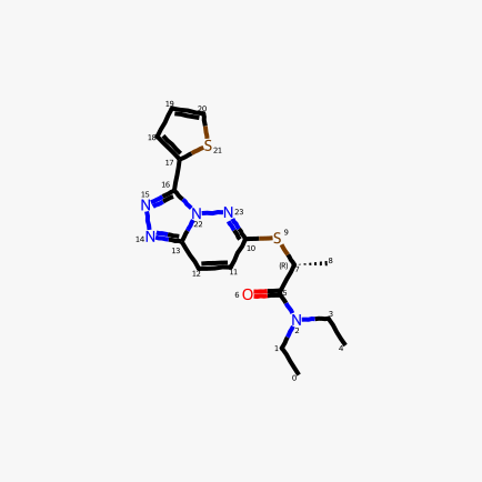 CCN(CC)C(=O)[C@@H](C)Sc1ccc2nnc(-c3cccs3)n2n1